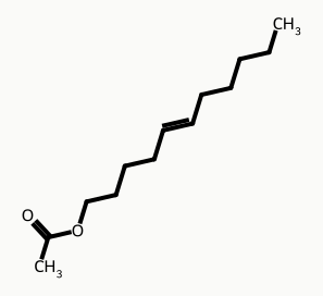 CCCCCC=CCCCCOC(C)=O